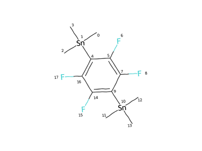 [CH3][Sn]([CH3])([CH3])[c]1c(F)c(F)[c]([Sn]([CH3])([CH3])[CH3])c(F)c1F